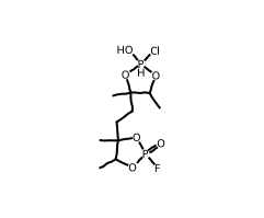 CC1OP(=O)(F)OC1(C)CCC1(C)O[PH](O)(Cl)OC1C